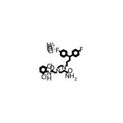 NC(=O)C1CN(CC(=O)Nc2c(Cl)cccc2Cl)CCN1CCCC(c1ccc(F)cc1)c1ccc(F)cc1.[Cl-].[Cl-].[H+].[H+]